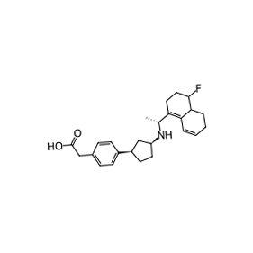 C[C@@H](N[C@H]1CC[C@@H](c2ccc(CC(=O)O)cc2)C1)C1=C2C=CCCC2C(F)CC1